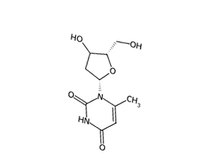 Cc1cc(=O)[nH]c(=O)n1[C@@H]1CC(O)[C@H](CO)O1